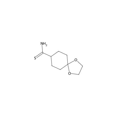 NC(=S)C1CCC2(CC1)OCCO2